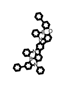 c1ccc(-c2ccc3c(c2)B2c4ccccc4-n4c5cc6c(cc5c5ccc(c2c54)O3)c2ccc3c4c2n6-c2ccccc2B4c2cc(-c4ccccc4)ccc2N3c2ccccc2)cc1